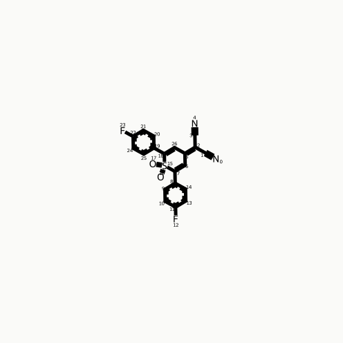 N#CC(C#N)=C1C=C(c2ccc(F)cc2)S(=O)(=O)C(c2ccc(F)cc2)=C1